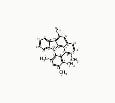 Cc1cc(C)c2c(c1C)c1c3c(cc[n+]1C)cc(C)c1c4ccccc4n2c13